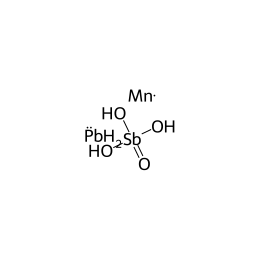 [Mn].[O]=[Sb]([OH])([OH])[OH].[PbH2]